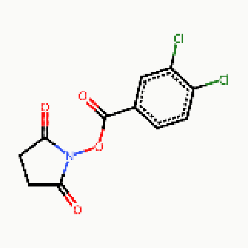 O=C(ON1C(=O)CCC1=O)c1ccc(Cl)c(Cl)c1